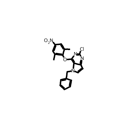 Cc1cc([N+](=O)[O-])cc(C)c1Oc1nc(Cl)nc2ccn(Cc3ccccc3)c12